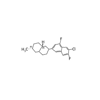 C[C@@H]1CC[C@@H]2CC(c3cc(F)c4cc(Cl)c(F)cc4c3)CCC2C1